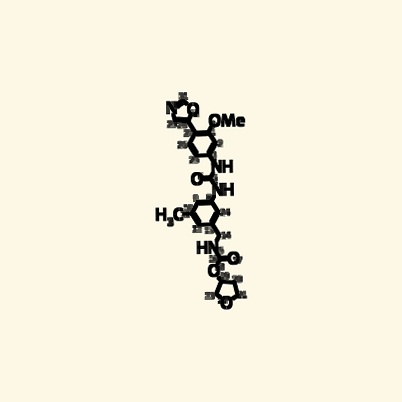 COc1cc(NC(=O)Nc2cc(C)cc(CNC(=O)O[C@H]3CCOC3)c2)ccc1-c1cnco1